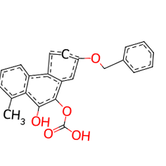 Cc1cccc2c1c(O)c(OC(=O)O)c1cc(OCc3ccccc3)ccc12